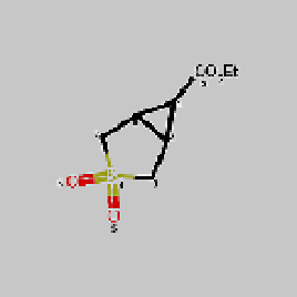 CCOC(=O)C1C2CS(=O)(=O)CC21